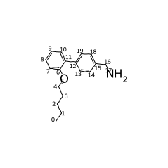 CCCCCOc1ccccc1-c1ccc(CN)cc1